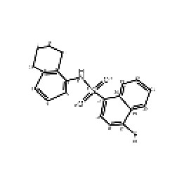 O=S(=O)(Nc1cccc2c1CCCC2)c1ccc(F)c2ccccc12